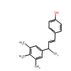 Cc1cc(C(/C=C/c2ccc(O)cc2)C(F)(F)F)cc(C)c1C